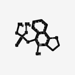 BOP(=O)(OB)Oc1c(O)c2c(c3ccccc13)OCC2